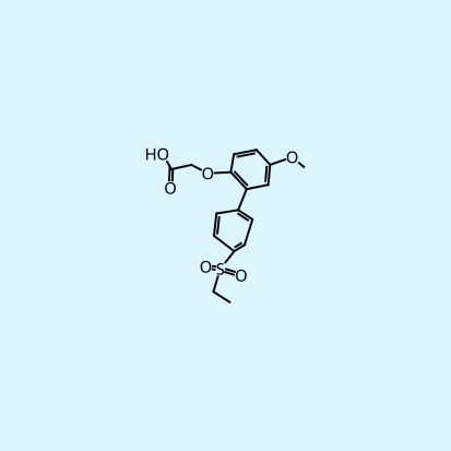 CCS(=O)(=O)c1ccc(-c2cc(OC)ccc2OCC(=O)O)cc1